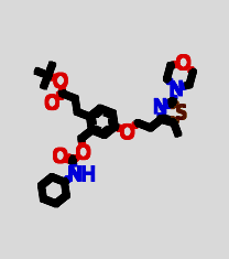 Cc1sc(N2CCOCC2)nc1CCOc1ccc(CCC(=O)OC(C)(C)C)c(COC(=O)NC2CCCCC2)c1